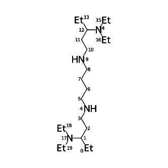 CCC(CCNCCCCNCCC(CC)N(CC)CC)N(CC)CC